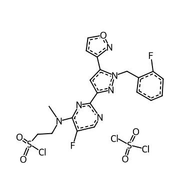 CN(CCS(=O)(=O)Cl)c1nc(-c2cc(-c3ccon3)n(Cc3ccccc3F)n2)ncc1F.O=S(=O)(Cl)Cl